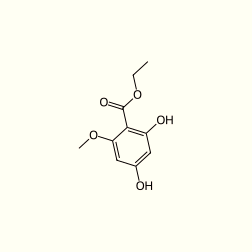 CCOC(=O)c1c(O)cc(O)cc1OC